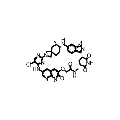 CNC(=O)COc1cc2cc(Nc3nc(N4CC5(CC[C@@H](Nc6ccc7c([C@H]8CCC(=O)NC8=O)nn(C)c7c6)[C@H](C)C5)C4)ncc3Cl)cnc2n(C)c1=O